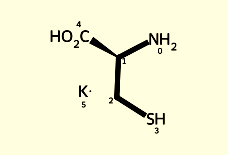 N[C@@H](CS)C(=O)O.[K]